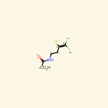 O=C(O)C(=O)NCCC(F)=C(F)F